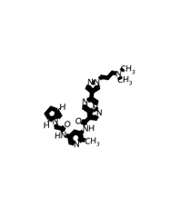 Cc1ncc(NC(=O)CN2C[C@@H]3CC[C@H]2C3)cc1NC(=O)c1cnn2cc(-c3cnn(CCCN(C)C)c3)ncc12